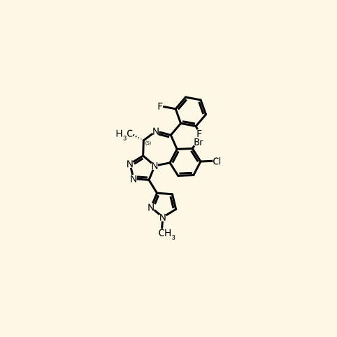 C[C@@H]1N=C(c2c(F)cccc2F)c2c(ccc(Cl)c2Br)-n2c(-c3ccn(C)n3)nnc21